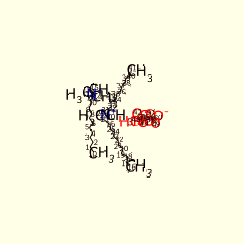 CCCCCCCCCCCC[N+](C)(C)C.CCCCCCCCCCCC[N+](C)(C)CCCCCCCCCCC.O=S(=O)([O-])O.O=S(=O)([O-])O